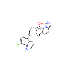 O[C@H](c1c(C2CC2)ccc2cncn12)[C@H]1CC[C@H](c2ccc(F)c3ncccc32)CC1